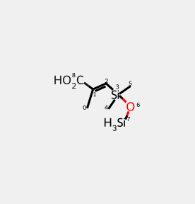 CC(=C[Si](C)(C)O[SiH3])C(=O)O